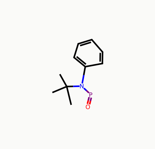 CC(C)(C)N(P=O)c1ccccc1